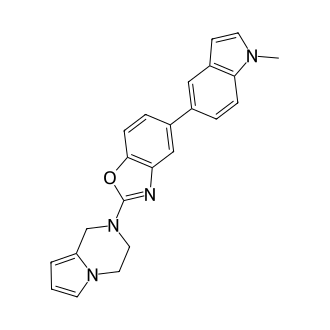 Cn1ccc2cc(-c3ccc4oc(N5CCn6cccc6C5)nc4c3)ccc21